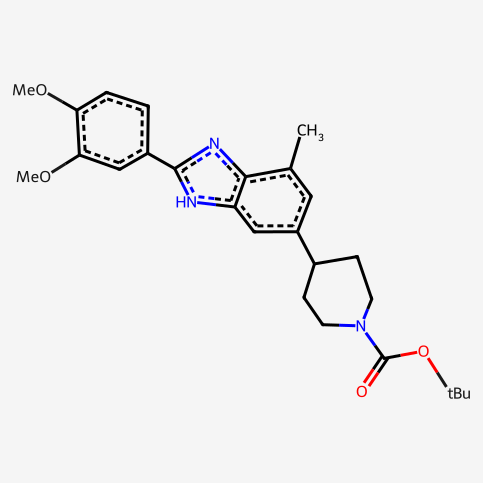 COc1ccc(-c2nc3c(C)cc(C4CCN(C(=O)OC(C)(C)C)CC4)cc3[nH]2)cc1OC